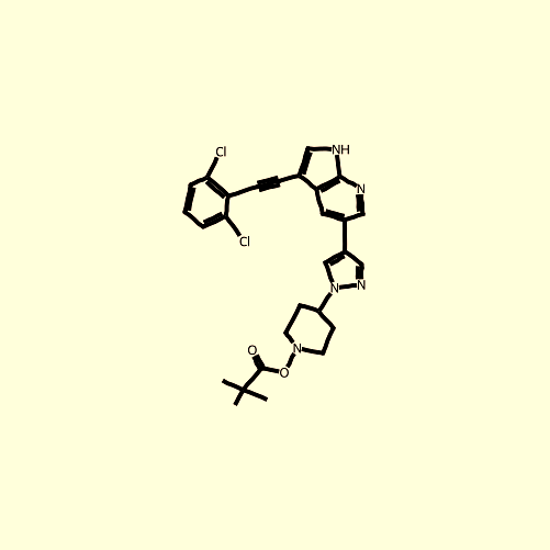 CC(C)(C)C(=O)ON1CCC(n2cc(-c3cnc4[nH]cc(C#Cc5c(Cl)cccc5Cl)c4c3)cn2)CC1